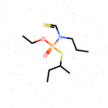 CCCN(C=S)P(=O)(OCC)SC(C)CC